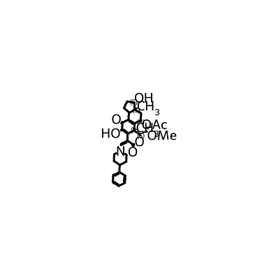 COC[C@H]1OC(=O)C(=CN2CCC(c3ccccc3)CC2)C2=C(O)C(=O)C3=C([C@H](OC(C)=O)C[C@@]4(C)C3CC[C@@H]4O)[C@]21C